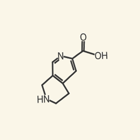 O=C(O)c1cc2c(cn1)CNCC2